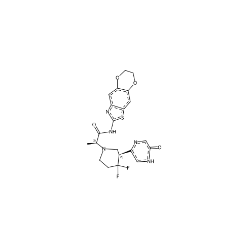 C[C@@H](C(=O)Nc1nc2cc3c(cc2s1)OCCO3)N1CCC(F)(F)[C@H](c2c[nH]c(=O)cn2)C1